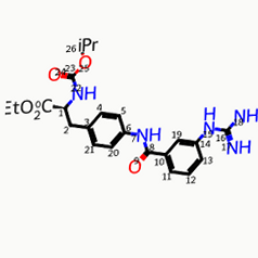 CCOC(=O)[C@H](Cc1ccc(NC(=O)c2cccc(NC(=N)N)c2)cc1)NC(=O)OC(C)C